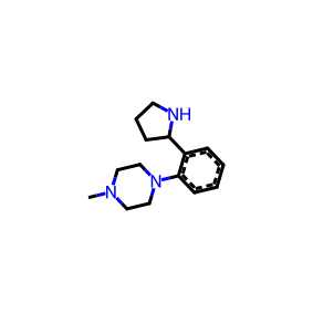 CN1CCN(c2ccccc2C2CCCN2)CC1